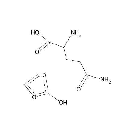 NC(=O)CCC(N)C(=O)O.Oc1ccco1